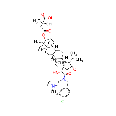 CC(C)C1=C2[C@H]3CC[C@@H]4[C@@]5(C)CC[C@H](OC(=O)CC(C)(C)C(=O)O)C(C)(C)[C@@H]5CC[C@@]4(C)[C@]3(C)CC[C@@]2([C@H](O)C(=O)N(CCN(C)C)Cc2ccc(Cl)cc2)CC1=O